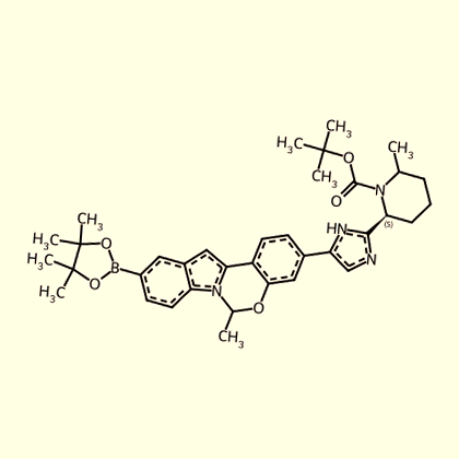 CC1CCC[C@@H](c2ncc(-c3ccc4c(c3)OC(C)n3c-4cc4cc(B5OC(C)(C)C(C)(C)O5)ccc43)[nH]2)N1C(=O)OC(C)(C)C